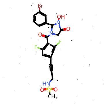 CS(=O)(=O)NCC#Cc1cc(F)c(C(=O)N2CC(=O)N(O)C2c2cccc(Br)c2)c(F)c1